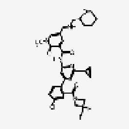 Cn1cc(CNC[C@@H]2CCCCO2)cc(C(=O)Nc2cc(-c3ccc(Cl)cc3C(=O)N3CC(F)(F)C3)cc(C3CC3)n2)c1=O